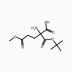 COC(=O)CCC(N)(C(=O)O)C(=O)OC(C)(C)C